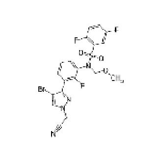 COCN(c1cccc(-c2nn(CC#N)cc2Br)c1F)S(=O)(=O)c1cc(F)ccc1F